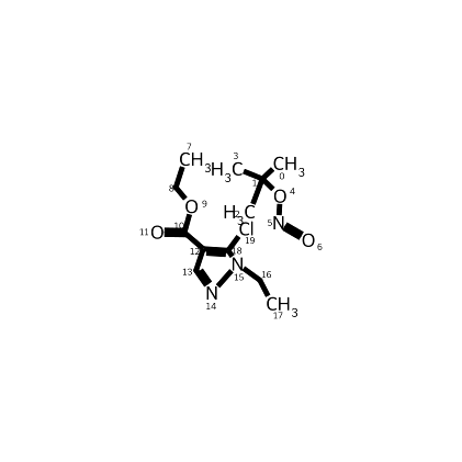 CC(C)(C)ON=O.CCOC(=O)c1cnn(CC)c1Cl